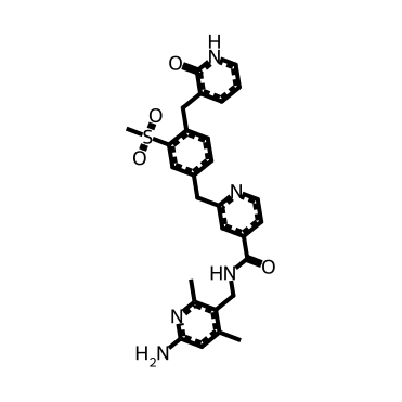 Cc1cc(N)nc(C)c1CNC(=O)c1ccnc(Cc2ccc(Cc3ccc[nH]c3=O)c(S(C)(=O)=O)c2)c1